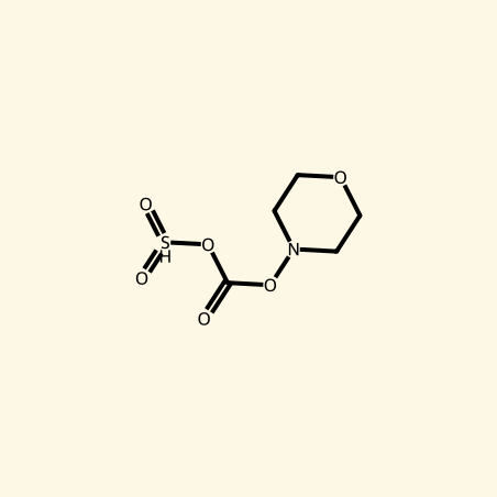 O=C(ON1CCOCC1)O[SH](=O)=O